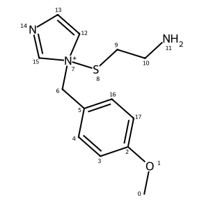 COc1ccc(C[N+]2(SCCN)C=CN=C2)cc1